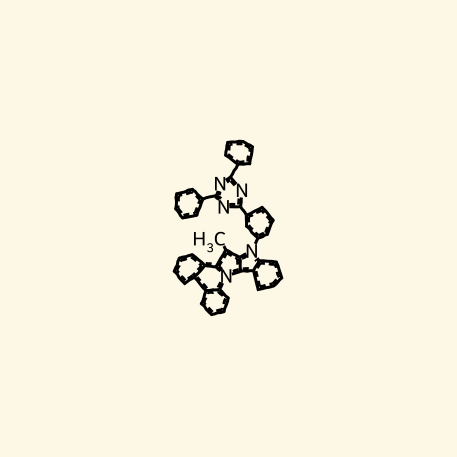 Cc1c2c(c3ccccc3n2-c2cccc(-c3nc(-c4ccccc4)nc(-c4ccccc4)n3)c2)n2c3ccccc3c3ccccc3c12